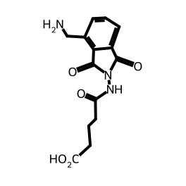 NCc1cccc2c1C(=O)N(NC(=O)CCCC(=O)O)C2=O